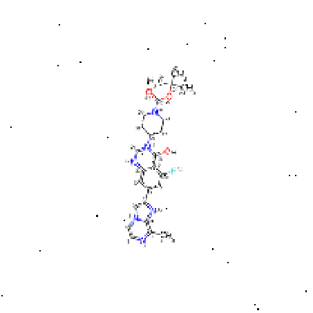 Cc1nccn2cc(-c3cc(F)c4c(=O)n(C5CCN(C(=O)OC(C)(C)C)CC5)cnc4c3)nc12